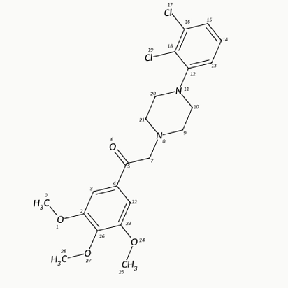 COc1cc(C(=O)CN2CCN(c3cccc(Cl)c3Cl)CC2)cc(OC)c1OC